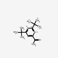 CC(=O)c1cc(C(C)(C)C)nc(C(C)(C)C)n1